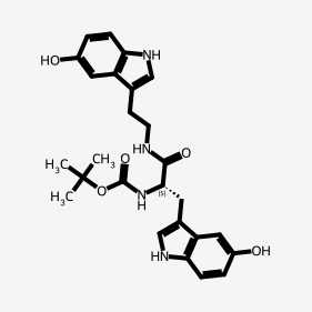 CC(C)(C)OC(=O)N[C@@H](Cc1c[nH]c2ccc(O)cc12)C(=O)NCCc1c[nH]c2ccc(O)cc12